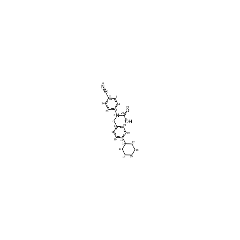 N#Cc1ccc(N(Cc2ccc(C3CCCCC3)cc2)C(=O)O)cc1